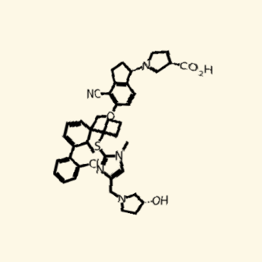 CC1C(c2ccccc2Cl)=CC=CC1(COc1ccc2c(c1C#N)CC[C@H]2N1CC[C@@H](C(=O)O)C1)C1(Sc2nc(CN3CC[C@@H](O)C3)cn2C)CCC1